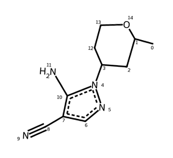 CC1CC(n2ncc(C#N)c2N)CCO1